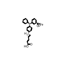 CC=CC=CC(=O)O.[C]=O.[C]=O.[Fe].c1ccc(P(c2ccccc2)c2ccccc2)cc1